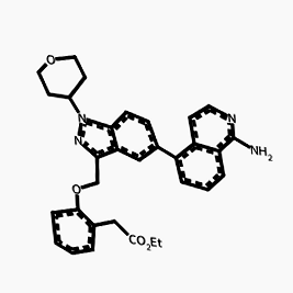 CCOC(=O)Cc1ccccc1OCc1nn(C2CCOCC2)c2ccc(-c3cccc4c(N)nccc34)cc12